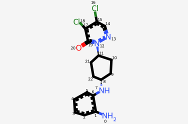 Nc1ccccc1N[C@H]1CC[C@H](n2ncc(Cl)c(Cl)c2=O)CC1